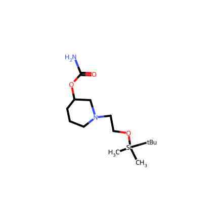 CC(C)(C)[Si](C)(C)OCCN1CCCC(OC(N)=O)C1